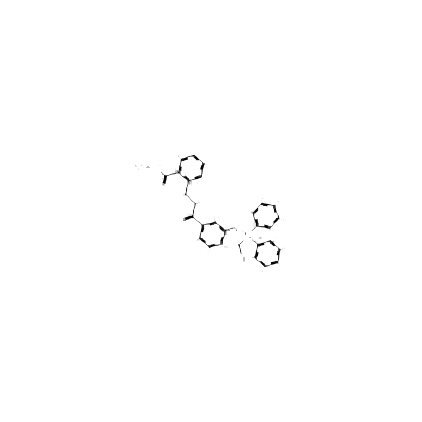 COC(=O)c1ccccc1CCC(=O)c1cccc(O[Si](CC(C)C)(c2ccccc2)c2ccccc2)c1